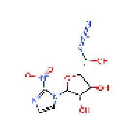 [N-]=[N+]=NC(O)[C@H]1OC(n2ccnc2[N+](=O)[O-])[C@@H](O)[C@@H]1O